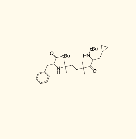 CC(C)(C)NC(CC1CC1)C(=O)C(C)(C)CCC(C)(C)NC(Cc1ccccc1)C(=O)C(C)(C)C